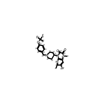 Cc1nc2c(cc1Br)n(C)c(=O)c(=O)n2C1CCN(Cc2ccc(OC(F)(F)F)cc2)CC1